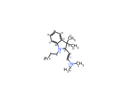 CC(C)CC[N+]1=C(/C=C/N(C)C)C(C)(C)c2ccccc21